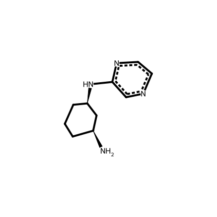 N[C@H]1CCC[C@@H](Nc2cnccn2)C1